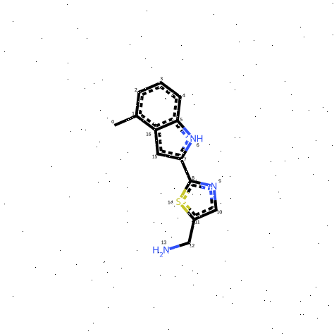 Cc1cccc2[nH]c(-c3ncc(CN)s3)cc12